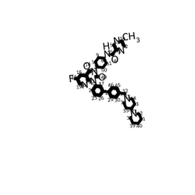 Cc1cnc(C(=O)N[C@H]2CC[C@@H](n3c(=O)c4cc(F)cnc4n(-c4cccc(-c5ccc(CN6CCC(N7CCCCC7)CC6)cc5)c4)c3=O)CC2)cn1